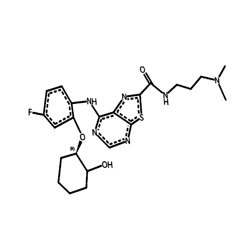 CN(C)CCCNC(=O)c1nc2c(Nc3ccc(F)cc3O[C@@H]3CCCCC3O)ncnc2s1